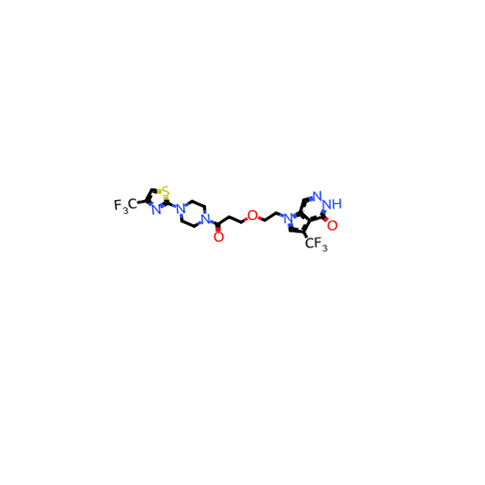 O=C(CCOCCn1cc(C(F)(F)F)c2c(=O)[nH]ncc21)N1CCN(c2nc(C(F)(F)F)cs2)CC1